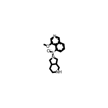 COc1cncc2cccc([S+]([O-])N3CC4CCNCC4C3)c12